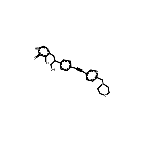 O=c1[nH]cnc(CC(CO)c2ccc(C#Cc3ccc(CN4CCOCC4)nc3)cc2)c1O